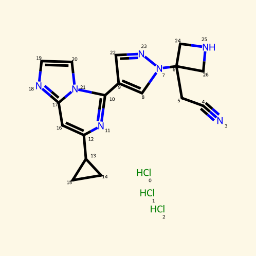 Cl.Cl.Cl.N#CCC1(n2cc(-c3nc(C4CC4)cc4nccn34)cn2)CNC1